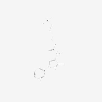 CCN(C(=O)CCSCCC(F)(F)Cl)c1cn(-c2cccnc2)nc1Cl